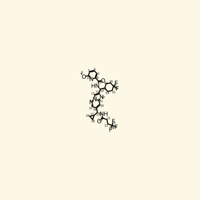 COc1cccc(C(=O)N[C@H](c2cn3ncc([C@H](NC(=O)CCC(F)(F)F)C4CC4)cc3n2)C2CCC(F)(F)CC2)n1